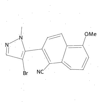 COc1cccc2c(C#N)c(-c3c(Br)cnn3C)ccc12